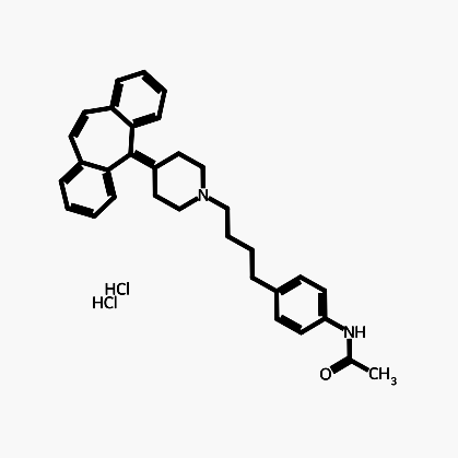 CC(=O)Nc1ccc(CCCCN2CCC(=C3c4ccccc4C=Cc4ccccc43)CC2)cc1.Cl.Cl